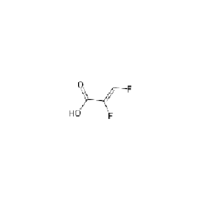 O=C(O)C(F)=CF